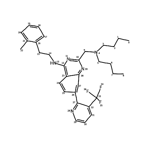 CCCCN(CCCC)Cc1nc(NCCc2ccccc2C)c2ccc(-c3ncccc3C(F)(F)F)cc2n1